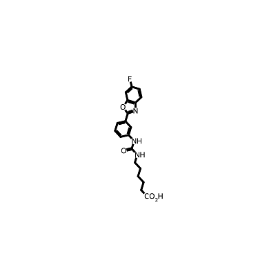 O=C(O)CCCCCNC(=O)Nc1cccc(-c2nc3ccc(F)cc3o2)c1